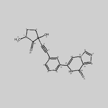 CN1CCC(O)(C#Cc2cccc(-c3cn4cncc4c(=O)[nH]3)c2)C1=O